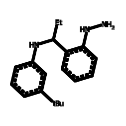 CCC(Nc1cccc(C(C)(C)C)c1)c1ccccc1NN